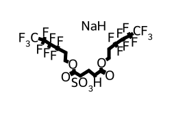 O=C(CCC(C(=O)OCCC(F)(F)C(F)(F)C(F)(F)C(F)(F)F)S(=O)(=O)O)OCCC(F)(F)C(F)(F)C(F)(F)C(F)(F)F.[NaH]